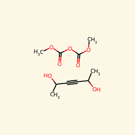 CC(O)C#CC(C)O.COC(=O)OC(=O)OC